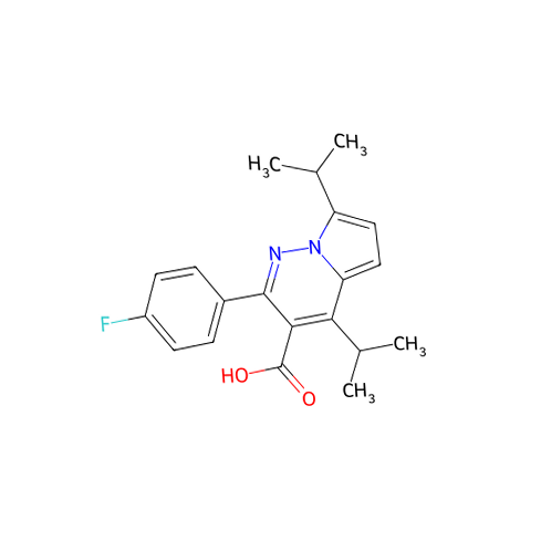 CC(C)c1c(C(=O)O)c(-c2ccc(F)cc2)nn2c(C(C)C)ccc12